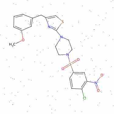 COc1cccc(Cc2csc(N3CCN(S(=O)(=O)c4ccc(Cl)c([N+](=O)[O-])c4)CC3)n2)c1